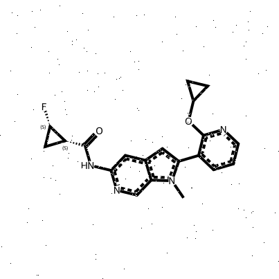 Cn1c(-c2cccnc2OC2CC2)cc2cc(NC(=O)[C@@H]3C[C@@H]3F)ncc21